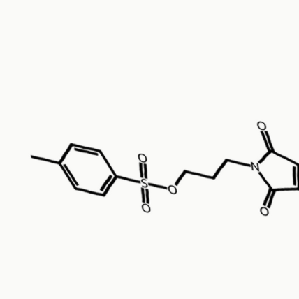 Cc1ccc(S(=O)(=O)OCCCN2C(=O)C=CC2=O)cc1